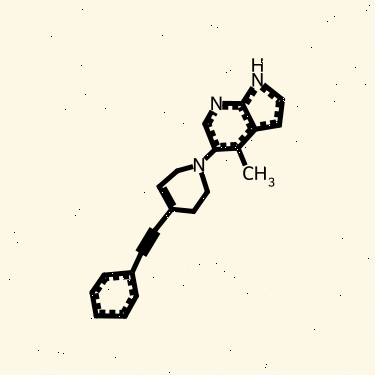 Cc1c(N2CC=C(C#Cc3ccccc3)CC2)cnc2[nH]ccc12